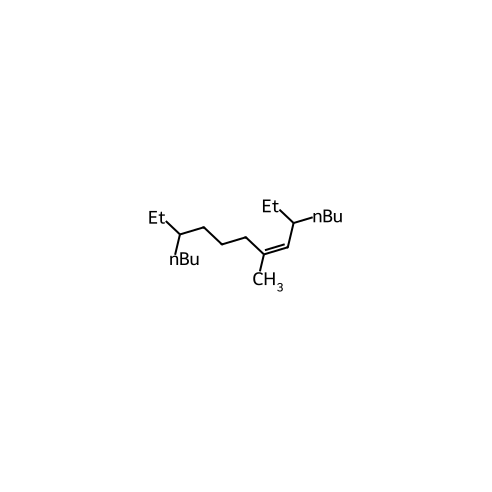 CCCCC(C=C(C)CCCC(CC)CCCC)CC